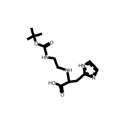 CC(C)(C)OC(=O)NCCNC(Cc1ncc[nH]1)C(=O)O